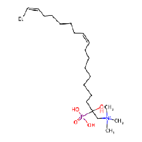 CC/C=C\CCCCC/C=C\CCCCCCCC(O)(C[N+](C)(C)C)P(=O)(O)O